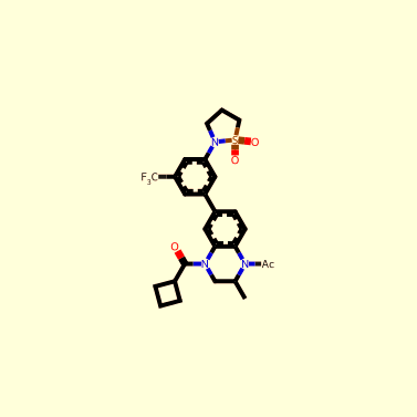 CC(=O)N1c2ccc(-c3cc(N4CCCS4(=O)=O)cc(C(F)(F)F)c3)cc2N(C(=O)C2CCC2)CC1C